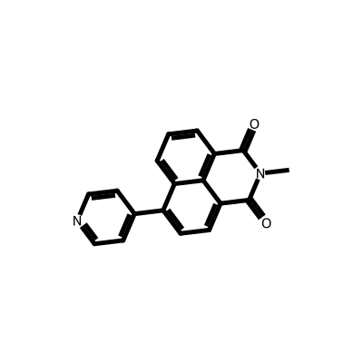 CN1C(=O)c2cccc3c(-c4ccncc4)ccc(c23)C1=O